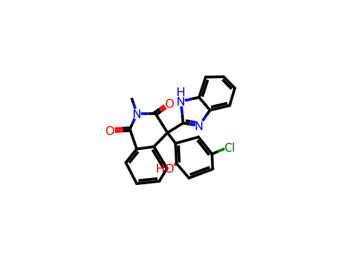 CN1C(=O)c2ccccc2C(c2nc3ccccc3[nH]2)(c2cc(Cl)ccc2O)C1=O